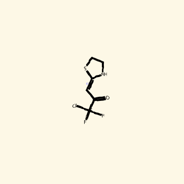 O=C(/C=C1\NCCS1)C(F)(F)Cl